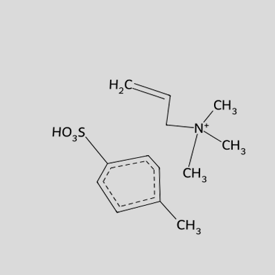 C=CC[N+](C)(C)C.Cc1ccc(S(=O)(=O)O)cc1